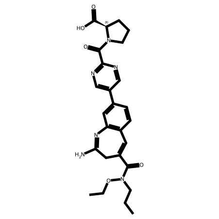 CCCN(OCC)C(=O)C1=Cc2ccc(-c3cnc(C(=O)N4CCC[C@@H]4C(=O)O)nc3)cc2N=C(N)C1